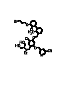 CCN(Cc1cc(Cl)c(OCc2cccc(-c3cccc(OCCCBr)c3Cl)c2C)cc1OCc1cncc(C#N)c1)C(CO)CO